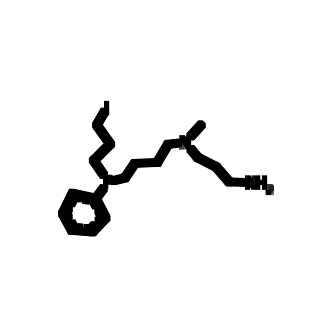 CN(CCCN)CCCCP(CCCI)c1ccccc1